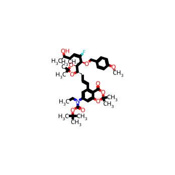 CCN(C(=O)OC(C)(C)C)c1cc(/C=C/C[C@@H]2OC(C)(C)O[C@@H]2[C@H](OCc2ccc(OC)cc2)/C(F)=C\[C@@H](C)[C@H](C)O)c2c(c1)OC(C)(C)OC2=O